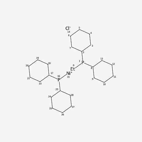 CCP(C1CCCCC1)C1CCCCC1.[Cl-].[Ni+][P](C1CCCCC1)C1CCCCC1